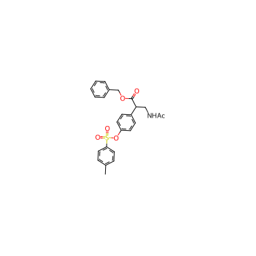 CC(=O)NCC(C(=O)OCc1ccccc1)c1ccc(OS(=O)(=O)c2ccc(C)cc2)cc1